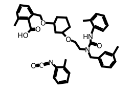 Cc1cccc(CN(CCOC2CCCC(OCc3cccc(C)c3C(=O)O)C2)C(=O)Nc2ccccc2C)c1.Cc1ccccc1N=C=O